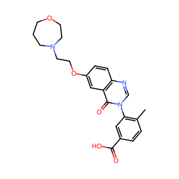 Cc1ccc(C(=O)O)cc1-n1cnc2ccc(OCCN3CCCOCC3)cc2c1=O